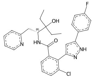 CCC(O)(CC)[C@@H](Cc1ccccn1)NC(=O)c1cccc(Cl)c1-c1cc(-c2ccc(F)cc2)[nH]n1